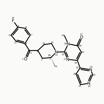 C[C@@H]1CC(C(=O)c2ccc(F)cc2)CCN1c1nc(-c2ccncn2)cc(=O)n1C